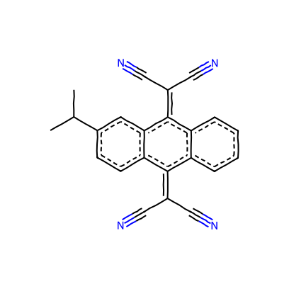 CC(C)c1ccc2c(=C(C#N)C#N)c3ccccc3c(=C(C#N)C#N)c2c1